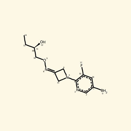 Bc1cnc(N2CC(=NOC[C@H](O)CC)C2)c(F)c1